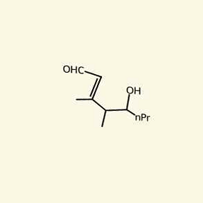 CCCC(O)C(C)/C(C)=C/C=O